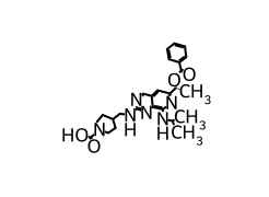 CC(C)Nc1nc([C@@H](C)OC(=O)c2ccccc2)cc2cnc(NCC3CCN(C(=O)O)CC3)nc12